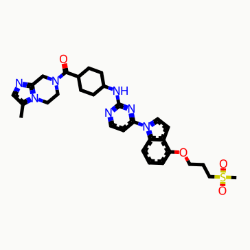 Cc1cnc2n1CCN(C(=O)C1CCC(Nc3nccc(-n4ccc5c(OCCCS(C)(=O)=O)cccc54)n3)CC1)C2